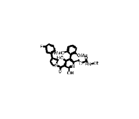 CCNC(=O)OCc1nc(O)c(C(=O)N2CCC(c3cccc(F)c3)C2)c(O)c1-c1c(OC)cccc1OC